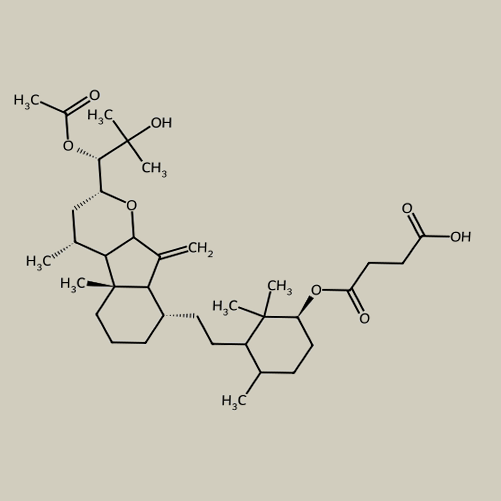 C=C1C2O[C@@H]([C@H](OC(C)=O)C(C)(C)O)C[C@@H](C)C2[C@@]2(C)CCC[C@@H](CCC3C(C)CC[C@H](OC(=O)CCC(=O)O)C3(C)C)C12